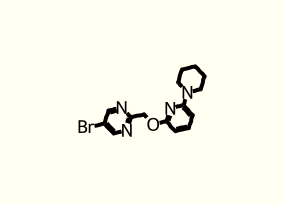 Brc1cnc(COc2cccc(N3CCCCC3)n2)nc1